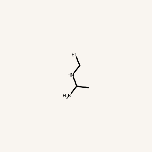 BC(C)NCCC